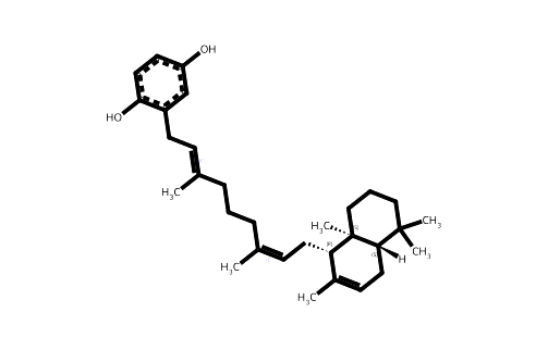 CC1=CC[C@H]2C(C)(C)CCC[C@]2(C)[C@H]1C/C=C(/C)CCC/C(C)=C/Cc1cc(O)ccc1O